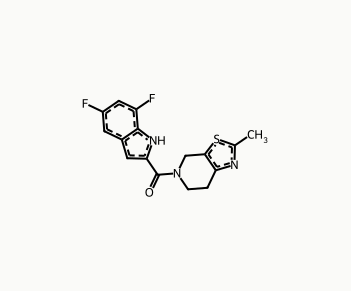 Cc1nc2c(s1)CN(C(=O)c1cc3cc(F)cc(F)c3[nH]1)CC2